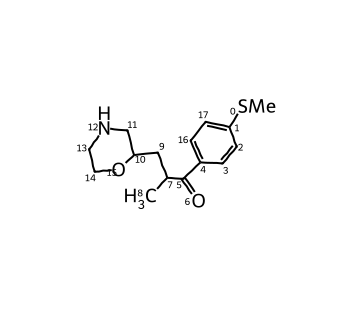 CSc1ccc(C(=O)C(C)CC2CNCCO2)cc1